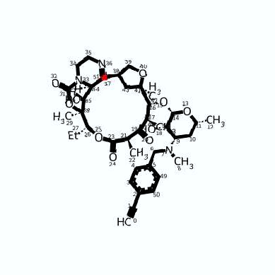 C#Cc1ccc(CN(C)[C@H]2C[C@@H](C)O[C@@H](O[C@@H]3[C@@H](C)C(=O)[C@@H](C)C(=O)O[C@H](CC)[C@@]4(C)OC(=O)N5CCN=C([C@@H]6CO[C@]3(C)C6)[C@H]5[C@H]4O)[C@H]2O)cc1